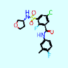 Cc1cc(NC(=O)c2cc(Cl)cc(S(=O)(=O)N[C@H]3CCOC3)c2F)ccc1F